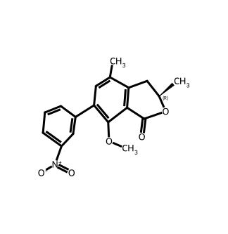 COc1c(-c2cccc([N+](=O)[O-])c2)cc(C)c2c1C(=O)O[C@H](C)C2